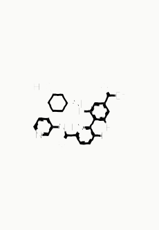 CCC(=O)c1cc(F)c(-c2nc(C(=O)Nc3cnccc3[C@@H]3C[C@H](C)C[C@H](N)C3)ccc2F)c(F)c1